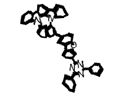 C1=CC(n2c3ccccc3c3ccc4c5ccccc5n(-c5cccc(-c6ccc7oc8cc(-c9nc(-c%10ccccc%10)nc(-c%10ccccc%10)n9)ccc8c7c6)c5)c4c32)=CCC1